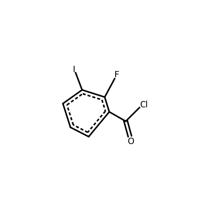 O=C(Cl)c1cccc(I)c1F